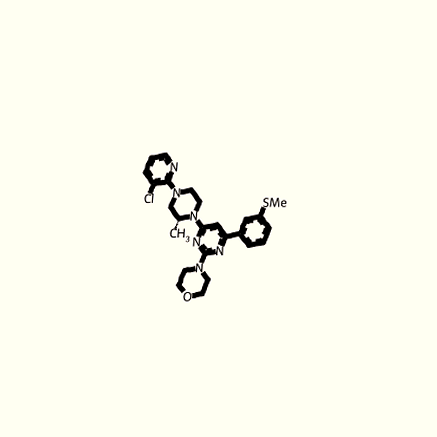 CSc1cccc(-c2cc(N3CCN(c4ncccc4Cl)C[C@H]3C)nc(N3CCOCC3)n2)c1